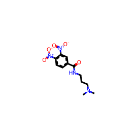 CN(C)CCCNC(=O)c1ccc([N+](=O)[O-])c([N+](=O)[O-])c1